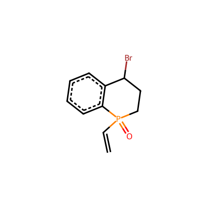 C=CP1(=O)CCC(Br)c2ccccc21